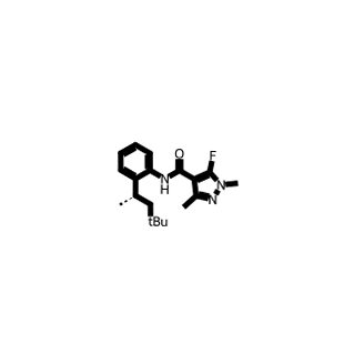 Cc1nn(C)c(F)c1C(=O)Nc1ccccc1[C@@H](C)CC(C)(C)C